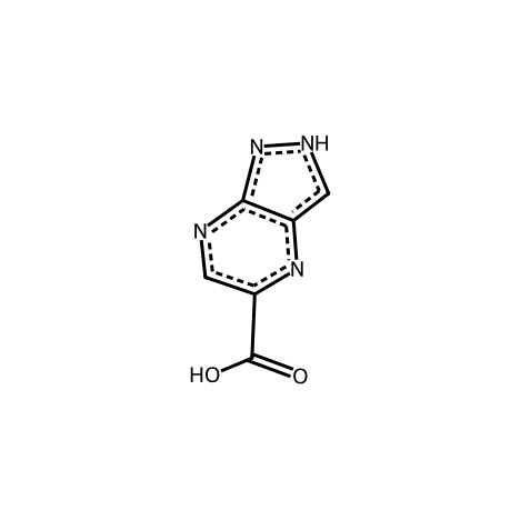 O=C(O)c1cnc2n[nH]cc2n1